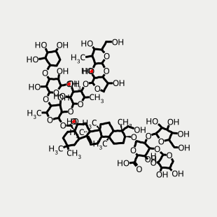 CC1OC(OC2C(C)OC(OC(=O)[C@]34CCC(C)(C)CC3C3=CCC5[C@@]6(C)CC[C@H](OC7OC(C(=O)O)C(O)C(OC8OCC(O)C(O)C8O)C7OC7OC(CO)C(O)C(O)C7O)[C@@](C)(CO)C6CC[C@@]5(C)[C@]3(C)C[C@H]4O)C(OC3OC(C)C(OC4OCC(O)C(OC5OC(CO)C(O)C(C)C5O)C4O)C(O)C3O)C2O)C(O)C(OC2CCC(O)C(O)C2O)C1O